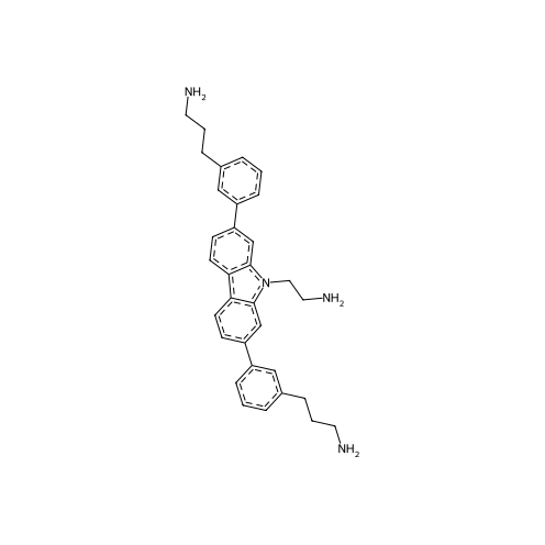 NCCCc1cccc(-c2ccc3c4ccc(-c5cccc(CCCN)c5)cc4n(CCN)c3c2)c1